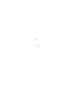 OCCC[SiH2]C1CCCCO1